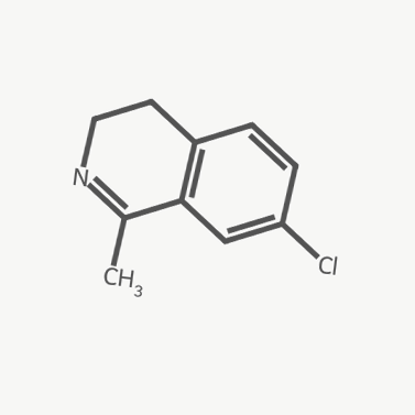 CC1=NCCc2ccc(Cl)cc21